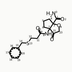 NC(=O)C12CCCC1(NC(=O)[CH]CSCc1ccccc1)C(=O)CO2